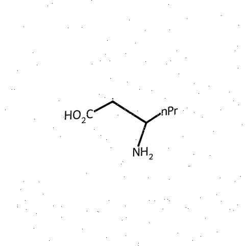 CCCC(N)[CH]C(=O)O